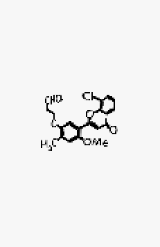 COc1cc(C)c(OCCC=O)cc1-c1cc(=O)c2cccc(Cl)c2o1